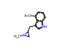 CC(=O)Oc1cccc2[nH]cc(CC3CN3C)c12